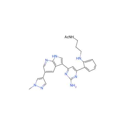 CC(=O)NCCCNc1ccccc1-c1cc(-c2c[nH]c3ncc(-c4cnn(C)c4)cc23)nc(N)n1